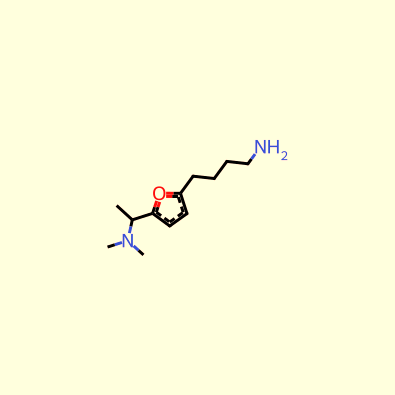 CC(c1ccc(CCCCN)o1)N(C)C